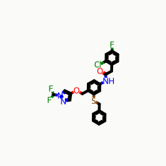 O=C(Cc1ccc(F)cc1Cl)Nc1ccc(COc2cnn(C(F)F)c2)c(SCc2ccccc2)c1